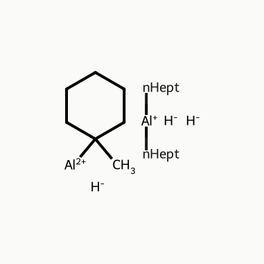 CCCCCC[CH2][Al+][CH2]CCCCCC.C[C]1([Al+2])CCCCC1.[H-].[H-].[H-]